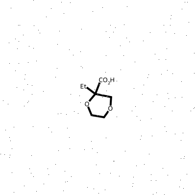 CCC1(C(=O)O)COCCO1